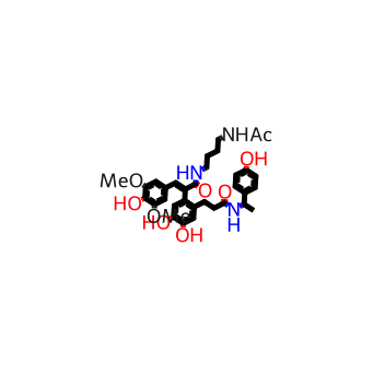 COc1cc(/C=C(/C(=O)NCCCCNC(C)=O)c2cc(O)c(O)cc2CCC(=O)NC(C)c2ccc(O)cc2)cc(OC)c1O